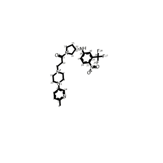 Cc1ccc(N2CCN(CCC(=O)N3CC[C@H](Nc4ccc([N+](=O)[O-])c(C(F)(F)F)c4)C3)CC2)cn1